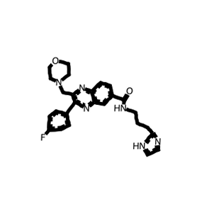 O=C(NCCCc1ncc[nH]1)c1ccc2nc(CN3CCOCC3)c(-c3ccc(F)cc3)nc2c1